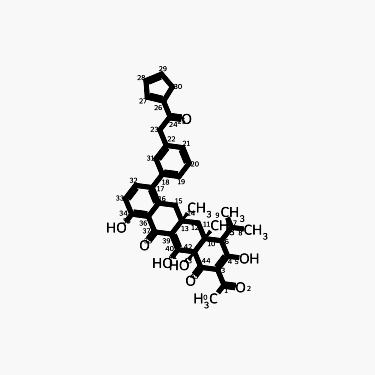 CC(=O)C1=C(O)C(C(C)C)[C@@]2(C)C[C@@]3(C)Cc4c(-c5cccc(CC(=O)C6=CC=CC6)c5)ccc(O)c4C(=O)C3=C(O)[C@@]2(O)C1=O